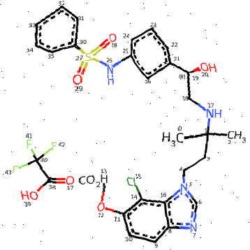 CC(C)(CCn1cnc2ccc(OC(=O)O)c(Cl)c21)NC[C@H](O)c1cccc(NS(=O)(=O)c2ccccc2)c1.O=C(O)C(F)(F)F